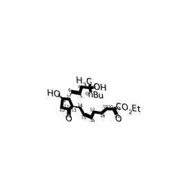 CCCCC(C)(O)C/C=C/[C@H]1[C@H](O)CC(=O)[C@@H]1C/C=C\CCCC(=O)C(=O)OCC